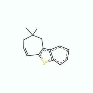 CC1(C)CC=Cc2sc3ccccc3c2C1